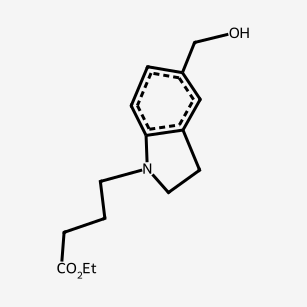 CCOC(=O)CCCN1CCc2cc(CO)ccc21